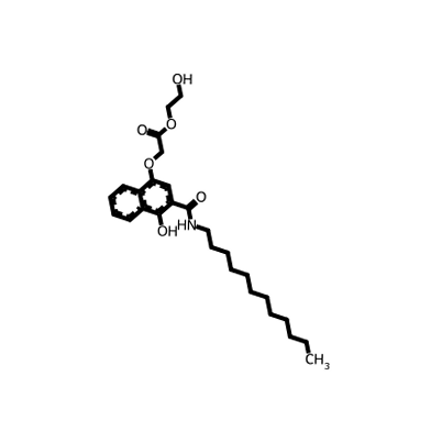 CCCCCCCCCCCCNC(=O)c1cc(OCC(=O)OCCO)c2ccccc2c1O